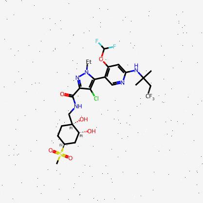 CCn1nc(C(=O)NC[C@]2(O)CC[C@H](S(C)(=O)=O)C[C@H]2O)c(Cl)c1-c1cnc(NC(C)(C)CC(F)(F)F)cc1OC(F)F